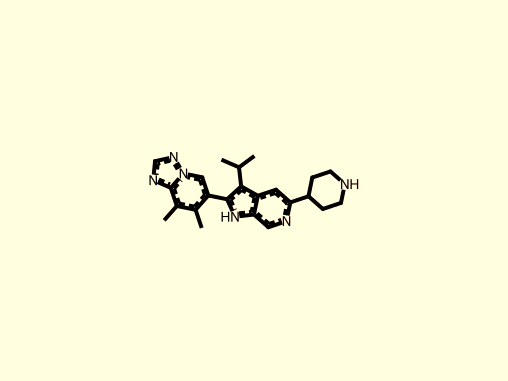 Cc1c(-c2[nH]c3cnc(C4CCNCC4)cc3c2C(C)C)cn2ncnc2c1C